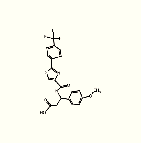 COc1ccc(C(CC(=O)O)NC(=O)c2csc(-c3ccc(C(F)(F)F)cc3)n2)cc1